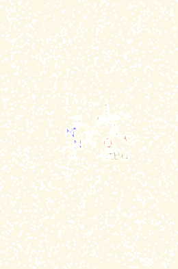 Cn1cc(C2CC2(C)C(=O)OC(C)(C)C)cn1